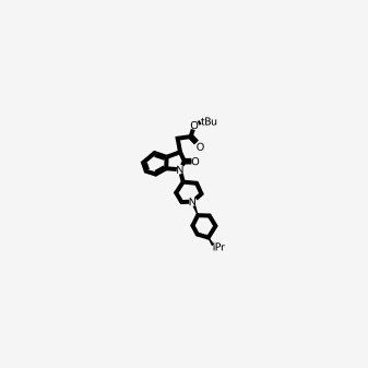 CC(C)[C@H]1CC[C@@H](N2CCC(N3C(=O)C(CC(=O)OC(C)(C)C)c4ccccc43)CC2)CC1